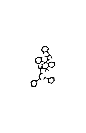 CC1(C)c2ccccc2C2(c3ccccc3-n3c4ccccc4c4cccc2c43)c2cccc(-c3cc(-c4ccccc4)nc(-c4ccccc4)n3)c21